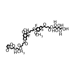 COc1cc2c(c(F)c1OCCCOc1c(OC)cc3sc(C(=O)CCC(=O)OC[C@@H](O)[C@@H](O)[C@H](O)[C@H](O)CO)cc3c1F)CN(C(=O)CCC(=O)O[C@@H](C)CNC(=O)CN1C(=O)C=CC1=O)C2